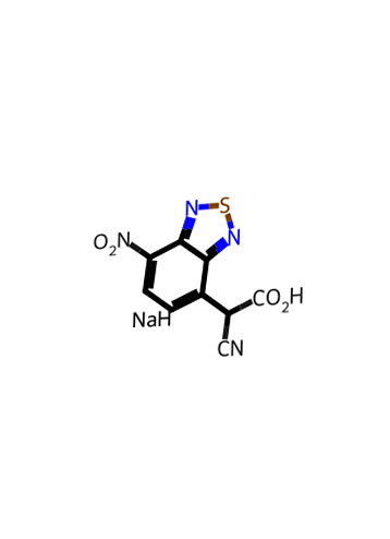 N#CC(C(=O)O)c1ccc([N+](=O)[O-])c2nsnc12.[NaH]